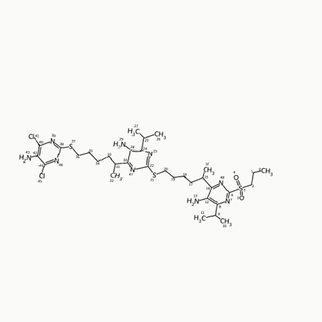 CCCS(=O)(=O)c1nc(C(C)C)c(N)c(C(C)CCCCSc2nc(C(C)C)c(N)c(C(C)CCCCSc3nc(Cl)c(N)c(Cl)n3)n2)n1